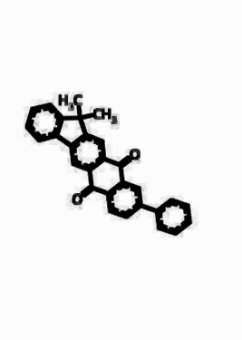 CC1(C)c2ccccc2-c2cc3c(cc21)C(=O)c1cc(-c2ccccc2)ccc1C3=O